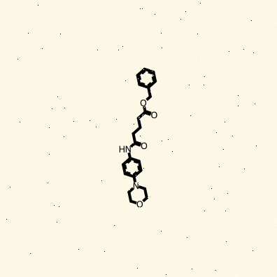 O=C(CCCC(=O)OCc1ccccc1)Nc1ccc(N2CCOCC2)cc1